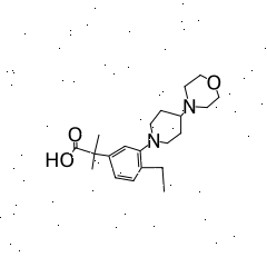 CCc1ccc(C(C)(C)C(=O)O)cc1N1CCC(N2CCOCC2)CC1